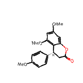 COc1ccc([C@H]2CC(=O)Oc3cc(OC)cc(OC)c32)cc1